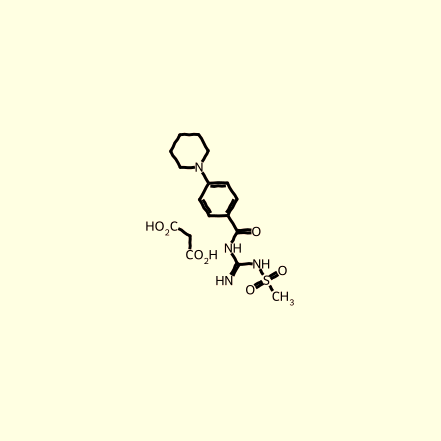 CS(=O)(=O)NC(=N)NC(=O)c1ccc(N2CCCCC2)cc1.O=C(O)CC(=O)O